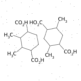 CC1C(C(=O)O)CCC(C(=O)O)C1C.CC1CC(C(=O)O)C(C)CC1C(=O)O